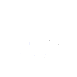 C=Cc1cc(OC)c2c(N)nc(N)nc2c1